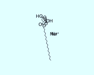 CCCCCCCCCCCCCCCCCCOC(=O)C(CC(=O)O)S(=O)(=O)O.[Na+].[Na+]